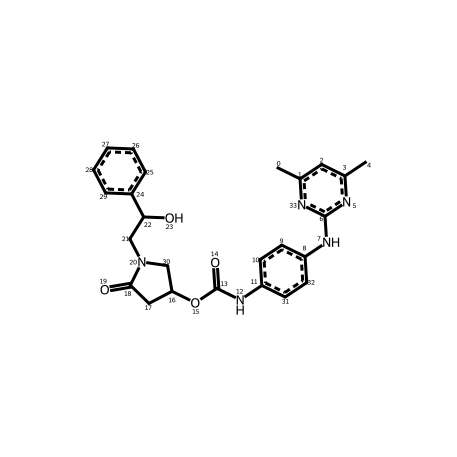 Cc1cc(C)nc(Nc2ccc(NC(=O)OC3CC(=O)N(CC(O)c4ccccc4)C3)cc2)n1